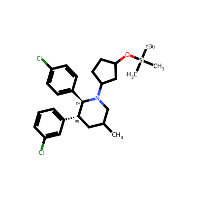 CC1C[C@H](c2cccc(Cl)c2)[C@@H](c2ccc(Cl)cc2)N(C2CCC(O[Si](C)(C)C(C)(C)C)C2)C1